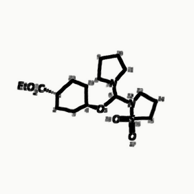 CCOC(=O)[C@H]1CC[C@H](OC(N2CCCC2)N2CCCS2(=O)=O)CC1